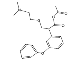 CC(=O)OC(=O)C(CSCCN(C)C)c1cccc(Oc2ccccc2)c1